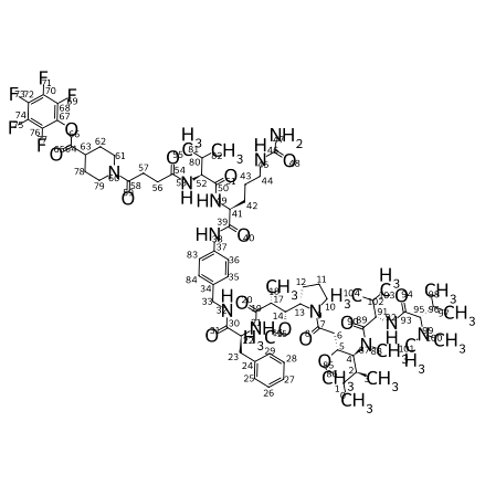 CC[C@H](C)[C@@H]([C@@H](CC(=O)N1CCC[C@H]1[C@H](OC)[C@@H](C)C(=O)N[C@@H](Cc1ccccc1)C(=O)NCc1ccc(NC(=O)[C@H](CCCNC(N)=O)NC(=O)[C@@H](NC(=O)CCC(=O)N2CCC(C(=O)Oc3c(F)c(F)c(F)c(F)c3F)CC2)C(C)C)cc1)OC)N(C)C(=O)[C@@H](NC(=O)[C@H](C(C)C)N(C)C)C(C)C